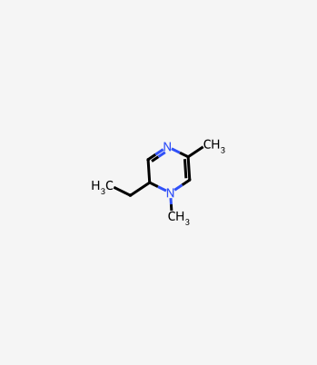 CCC1C=NC(C)=CN1C